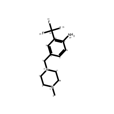 CN1CCN(Cc2ccc(N)c(C(F)(F)F)c2)CC1